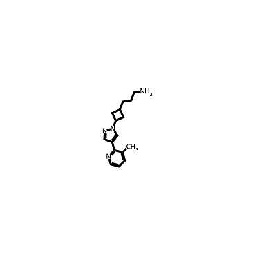 Cc1cccnc1-c1cnn(C2CC(CCCN)C2)c1